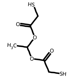 CC(OC(=O)CS)OC(=O)CS